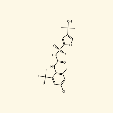 Cc1cc(Cl)cc(C(F)(F)F)c1NC(=O)NS(=O)(=O)c1cc(C(C)(C)O)co1